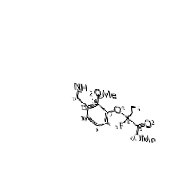 COC(=O)C(F)(F)Oc1cccc(CN)c1OC